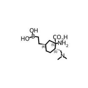 CN(C)C[C@@H]1CC[C@@H](CCB(O)O)C[C@@]1(N)C(=O)O